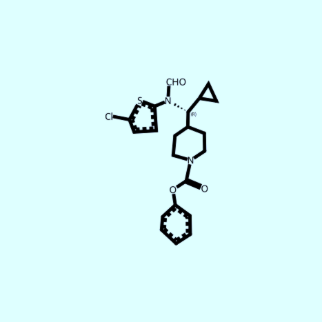 O=CN(c1ccc(Cl)s1)[C@H](C1CC1)C1CCN(C(=O)Oc2ccccc2)CC1